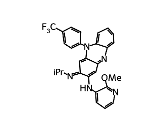 COc1ncccc1Nc1cc2nc3ccccc3n(-c3ccc(C(F)(F)F)cc3)c-2c/c1=N\C(C)C